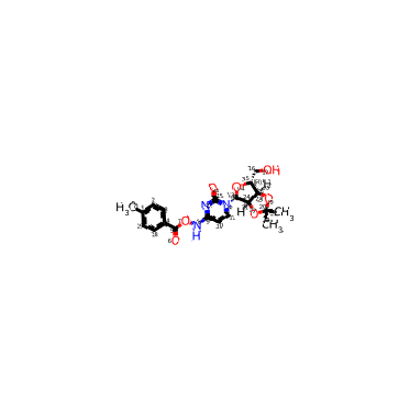 Cc1ccc(C(=O)ONc2ccn([C@@H]3O[C@H](CO)[C@H]4OC(C)(C)O[C@H]43)c(=O)n2)cc1